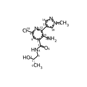 C[C@H](O)CNC(=O)c1cc(Cl)nc(-c2cnn(C)c2)c1N